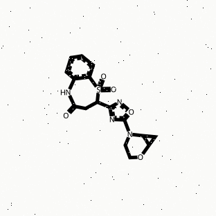 O=C1CC(c2noc(N3CCOC4CC43)n2)S(=O)(=O)c2ccccc2N1